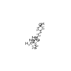 C[C@@H](CC1=CSCC1)NC(=O)NCCCC1CCC(O)CC1